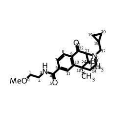 COCCNC(=O)c1ccc2c(c1)[C@]1(C)CCN(CC3CC3)C(C2=O)[C@@H]1C